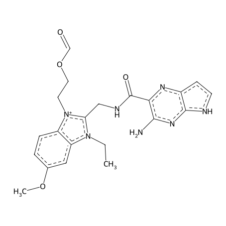 CCn1c(CNC(=O)c2nc3cc[nH]c3nc2N)[n+](CCOC=O)c2ccc(OC)cc21